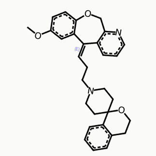 COc1ccc2c(c1)/C(=C/CCN1CCC3(CC1)OCCc1ccccc13)c1cccnc1CO2